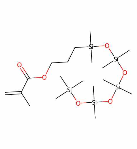 C=C(C)C(=O)OCCC[Si](C)(C)O[Si](C)(C)O[Si](C)(C)O[Si](C)(C)O[Si](C)(C)C